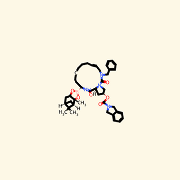 CC1(C)[C@H]2CC3OB([C@@H]4CCCCCC/C=C/CN(Cc5ccccc5)C(=O)N5C[C@H](OC(=O)N6Cc7ccccc7C6)C[C@H]5C(=O)N4)O[C@]3(C)[C@@H]1C2